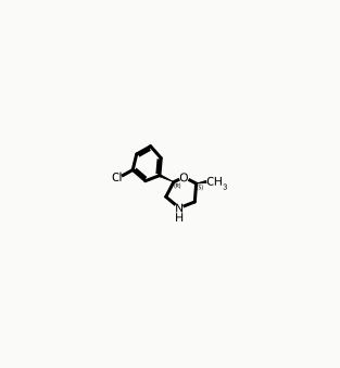 C[C@H]1CNC[C@@H](c2cccc(Cl)c2)O1